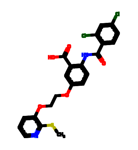 CSc1ncccc1OCCOc1ccc(NC(=O)c2ccc(Cl)cc2Cl)c(C(=O)O)c1